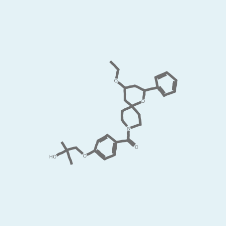 CCOC1CC(c2ccccc2)OC2(CCN(C(=O)c3ccc(OCC(C)(C)O)cc3)CC2)C1